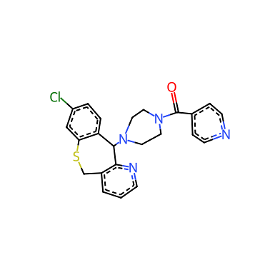 O=C(c1ccncc1)N1CCN(C2c3ccc(Cl)cc3SCc3cccnc32)CC1